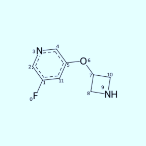 Fc1[c]ncc(OC2CNC2)c1